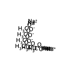 CC(=O)[O-].CC(=O)[O-].CC(=O)[O-].CC(=O)[O-].CC(=O)[O-].CC(=O)[O-].[Na+].[Na+].[Na+].[Na+].[Na+].[Na+]